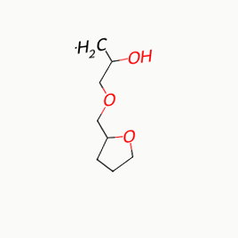 [CH2]C(O)COCC1CCCO1